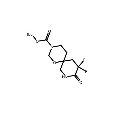 CC(C)(C)OC(=O)N1CCC2(CNC(=O)C(F)(F)C2)OC1